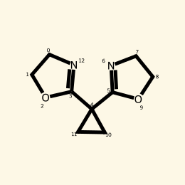 C1COC(C2(C3=NCCO3)CC2)=N1